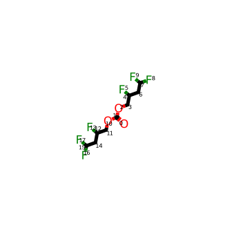 O=C(OCC(F)CC(F)F)OCC(F)CC(F)F